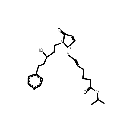 CC(C)OC(=O)CCCC=CC[C@H]1C=CC(=O)[C@@H]1CCC(O)CCc1ccccc1